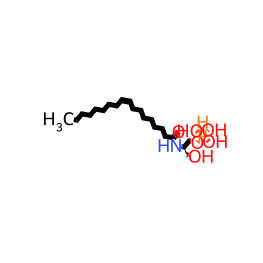 CCCCCCCC/C=C\CCCCCCCC(=O)N[C@@H](CO)CO[PH](O)(O)O